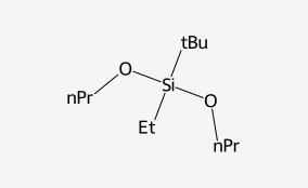 CCCO[Si](CC)(OCCC)C(C)(C)C